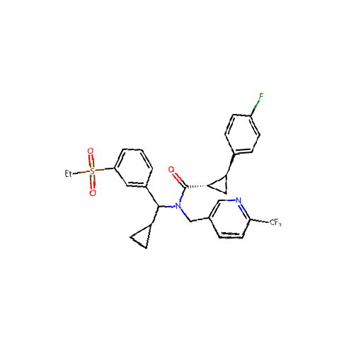 CCS(=O)(=O)c1cccc(C(C2CC2)N(Cc2ccc(C(F)(F)F)nc2)C(=O)[C@H]2C[C@@H]2c2ccc(F)cc2)c1